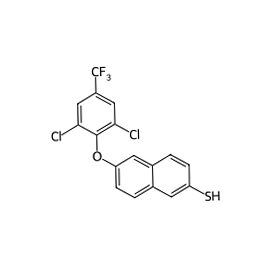 FC(F)(F)c1cc(Cl)c(Oc2ccc3cc(S)ccc3c2)c(Cl)c1